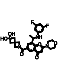 CC(Nc1cc(F)cc(F)c1)c1cc(C(=O)N2CC3(C2)CS(O)(O)C3)cc2c(=O)cc(N3CCOCC3)oc12